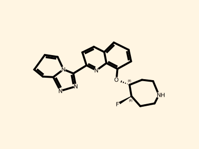 F[C@@H]1CCNCC[C@H]1Oc1cccc2ccc(-c3nnc4ccccn34)nc12